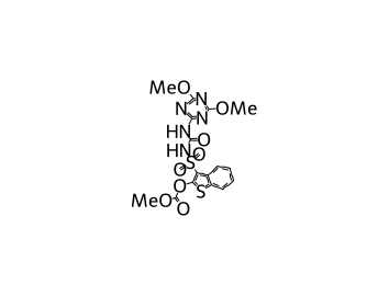 COC(=O)Oc1sc2ccccc2c1S(=O)(=O)NC(=O)Nc1nc(OC)nc(OC)n1